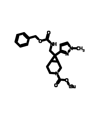 Cn1ccc(C2(CNC(=O)OCc3ccccc3)C3CCN(C(=O)OC(C)(C)C)CC32)n1